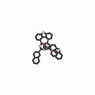 c1ccc(-c2cccc(-c3cccc4oc5cccc(-c6nc(-c7ccc8ccccc8c7)nc(-c7ccc8sc9ccccc9c8c7)n6)c5c34)c2)cc1